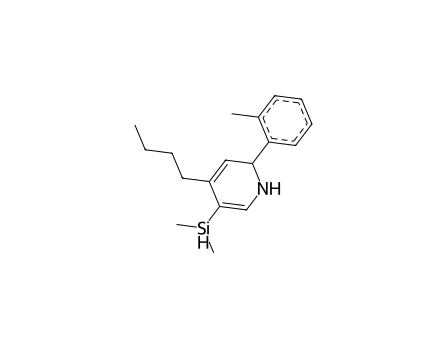 CCCCC1=CC(c2ccccc2C)NC=C1[SiH](C)C